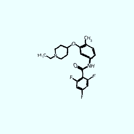 CCN1CCC(Oc2cc(NC(=O)c3c(F)cc(F)cc3F)ccc2C)CC1